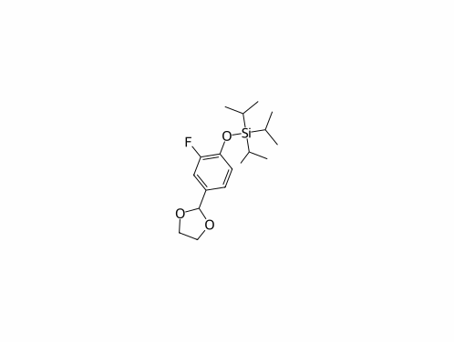 CC(C)[Si](Oc1ccc(C2OCCO2)cc1F)(C(C)C)C(C)C